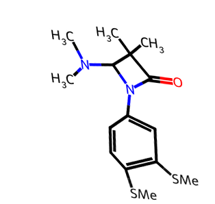 CSc1ccc(N2C(=O)C(C)(C)C2N(C)C)cc1SC